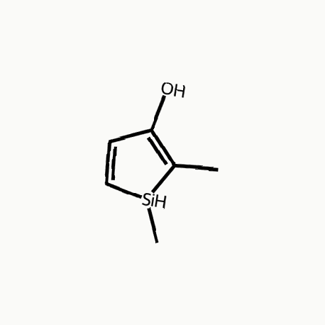 CC1=C(O)C=C[SiH]1C